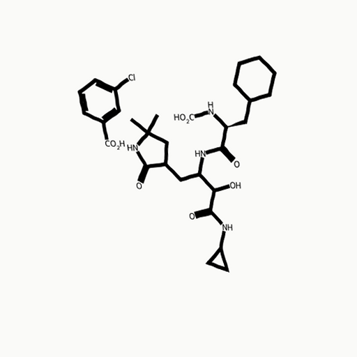 CC1(C)CC(CC(NC(=O)[C@H](CC2CCCCC2)NC(=O)O)C(O)C(=O)NC2CC2)C(=O)N1.O=C(O)c1cccc(Cl)c1